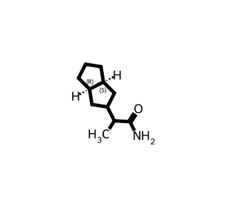 CC(C(N)=O)C1C[C@H]2CCC[C@H]2C1